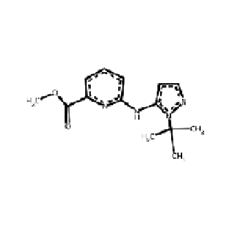 COC(=O)c1cccc(Nc2ccnn2C(C)(C)C)n1